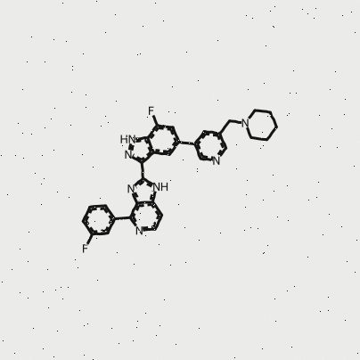 Fc1cccc(-c2nccc3[nH]c(-c4n[nH]c5c(F)cc(-c6cncc(CN7CCCCC7)c6)cc45)nc23)c1